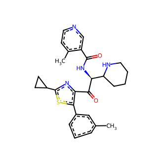 Cc1cccc(-c2sc(C3CC3)nc2C(=O)[C@@H](NC(=O)c2cnccc2C)C2CCCCN2)c1